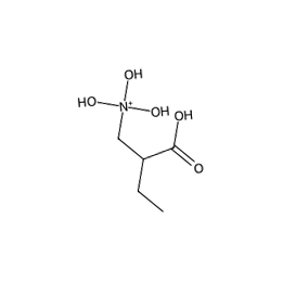 CCC(C[N+](O)(O)O)C(=O)O